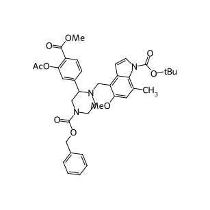 COC(=O)c1ccc(C2CN(C(=O)OCc3ccccc3)CCN2Cc2c(OC)cc(C)c3c2ccn3C(=O)OC(C)(C)C)cc1OC(C)=O